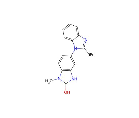 CC(C)c1nc2ccccc2n1-c1ccc2c(c1)NC(O)N2C